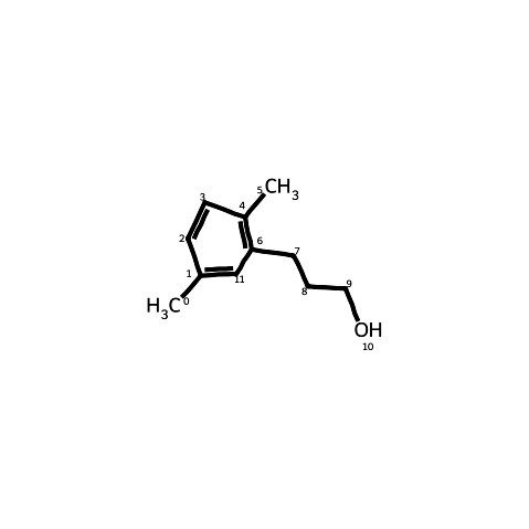 Cc1ccc(C)c(CCCO)c1